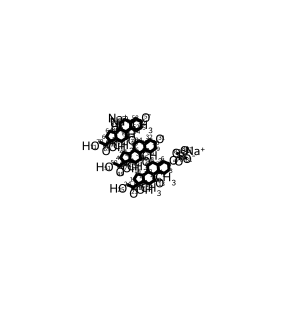 C[C@]12CCC(=O)C=C1CCC1C2C(=O)C[C@@]2(C)C1CC[C@]2(O)C(=O)CO.C[C@]12CCC(=O)C=C1CCC1C2C(=O)C[C@@]2(C)C1CC[C@]2(O)C(=O)CO.C[C@]12CCC(=O)C=C1CC[C@@H]1C3CC[C@](O)(C(=O)CO)[C@@]3(C)CC(=O)[C@H]12.O=P([O-])([O-])[O-].[Na+].[Na+].[Na+]